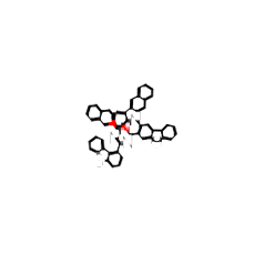 c1ccc2cc(-c3nc(-c4cc5oc6ccccc6c5cc4-n4c5ccccc5c5cc6ccccc6cc54)nc(-c4cccc5sc6ccccc6c45)n3)ccc2c1